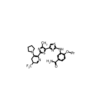 Cc1nc(C2=C(N3CCCC3)CC(C(F)(F)F)C=N2)sc1-c1csc(Nc2cc(C(N)=O)ccc2OC(C)C)n1